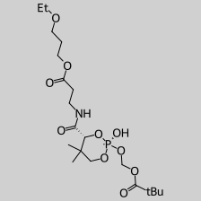 CCOCCCOC(=O)CCNC(=O)[C@@H]1O[P@@](O)(OCOC(=O)C(C)(C)C)OCC1(C)C